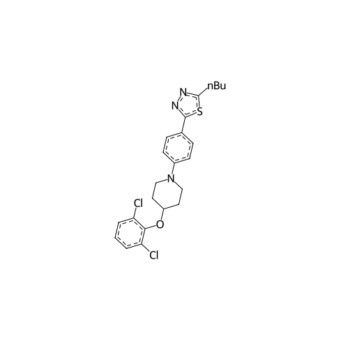 CCCCc1nnc(-c2ccc(N3CCC(Oc4c(Cl)cccc4Cl)CC3)cc2)s1